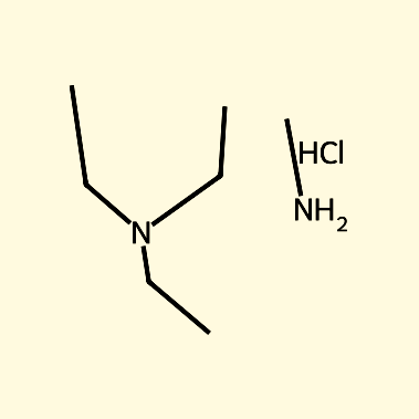 CCN(CC)CC.CN.Cl